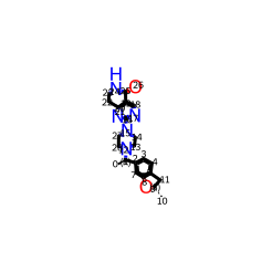 C[C@H](c1ccc2c(c1)O[C@@H](C)C2)N1CCN(c2ncc3c(n2)CCNC3=O)CC1